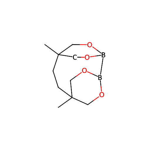 CC12CCC3(C)COB(OC3)B(OC1)OC2